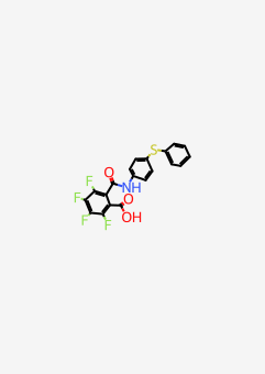 O=C(O)c1c(F)c(F)c(F)c(F)c1C(=O)Nc1ccc(Sc2ccccc2)cc1